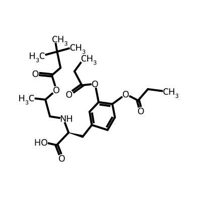 CCC(=O)Oc1ccc(C[C@H](NCC(C)OC(=O)CC(C)(C)C)C(=O)O)cc1OC(=O)CC